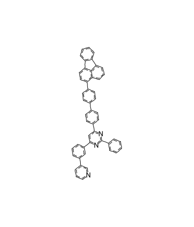 c1ccc(-c2nc(-c3ccc(-c4ccc(-c5ccc6c7c(cccc57)-c5ccccc5-6)cc4)cc3)cc(-c3cccc(-c4cccnc4)c3)n2)cc1